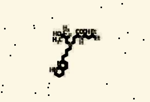 CCC(CC)CC(=O)NC(CCN(CCCCc1ccc2c(n1)NCCC2)CC(F)C(C)(C)O)C(=O)O